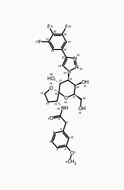 COc1cccc(CC(=O)N[C@@H]2CCO[C@]23O[C@H](CO)[C@H](O)[C@H](n2cc(-c4cc(F)c(F)c(F)c4)nn2)[C@H]3O)c1